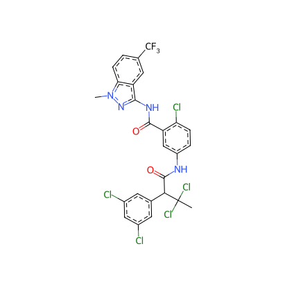 Cn1nc(NC(=O)c2cc(NC(=O)C(c3cc(Cl)cc(Cl)c3)C(C)(Cl)Cl)ccc2Cl)c2cc(C(F)(F)F)ccc21